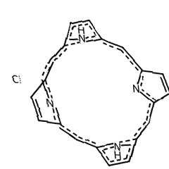 C1=Cc2cc3ccc(cc4nc(cc5ccc(cc1n2)[nH]5)C=C4)[nH]3.[C]